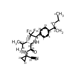 C=C(OCC)c1ccc([C@H](N[C@@H](CC(C)C)C(=O)NC2(C#N)CC2)C(F)(F)F)cc1